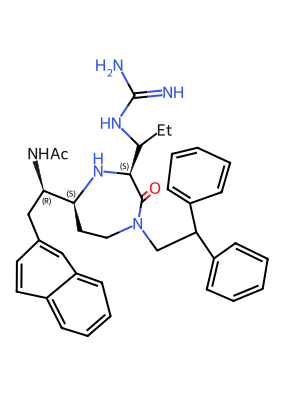 CCC(NC(=N)N)[C@@H]1N[C@H]([C@@H](Cc2ccc3ccccc3c2)NC(C)=O)CCN(CC(c2ccccc2)c2ccccc2)C1=O